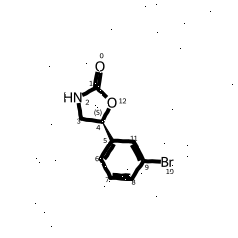 O=C1NC[C@H](c2cccc(Br)c2)O1